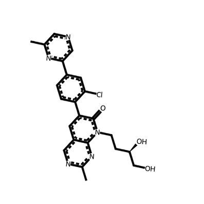 Cc1cncc(-c2ccc(-c3cc4cnc(C)nc4n(CC[C@@H](O)CO)c3=O)c(Cl)c2)n1